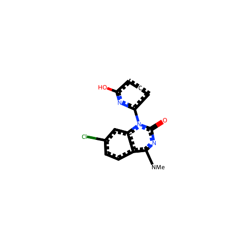 CNc1nc(=O)n(-c2cccc(O)n2)c2cc(Cl)ccc12